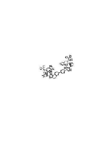 COC(=O)N[C@@H](Cc1cn(C)cn1)C(=O)N1CCC[C@H]1c1ncc(-c2ccc(-c3ccc4c(ccc5nc([C@@H]6C[Si](C)(C)CN6C(=O)[C@H](Cc6cn(C)cn6)NC(=O)OC)[nH]c54)c3)cc2)[nH]1